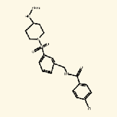 CCCCCCNC1CCN(S(=O)(=O)c2cccc(CNC(=O)c3ccc(Cl)cc3)c2)CC1